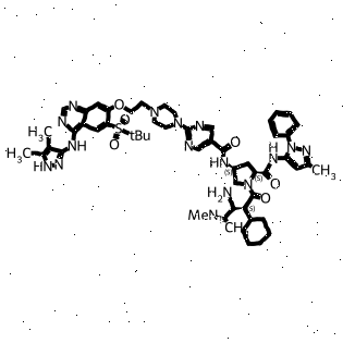 CN[C@@H](C)C(N)[C@@H](C(=O)N1C[C@@H](NC(=O)c2cnc(N3CCN(CCOc4cc5ncnc(Nc6n[nH]c(C)c6C)c5cc4S(=O)(=O)C(C)(C)C)CC3)nc2)C[C@H]1C(=O)Nc1cc(C)nn1-c1ccccc1)C1CCCCC1